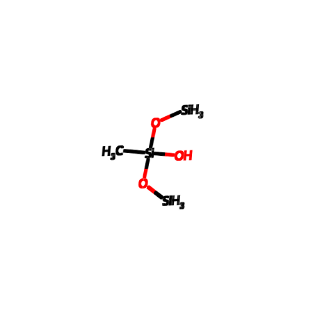 C[Si](O)(O[SiH3])O[SiH3]